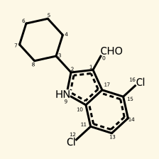 O=Cc1c(C2CCCCC2)[nH]c2c(Cl)ccc(Cl)c12